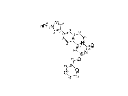 CCCn1cc(-c2ccc3c(c2)CCn2c-3cc(OCC3COCCO3)nc2=O)cn1